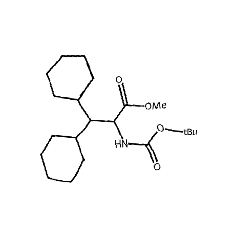 COC(=O)C(NC(=O)OC(C)(C)C)C(C1CCCCC1)C1CCCCC1